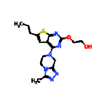 CCCc1cc2c(N3CCn4c(C)nnc4C3)nc(OCCO)nc2s1